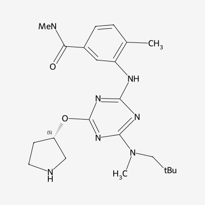 CNC(=O)c1ccc(C)c(Nc2nc(O[C@H]3CCNC3)nc(N(C)CC(C)(C)C)n2)c1